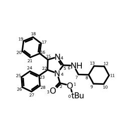 CC(C)(C)OC(=O)N1C(NCC2CCCCC2)=NC(c2ccccc2)C1c1ccccc1